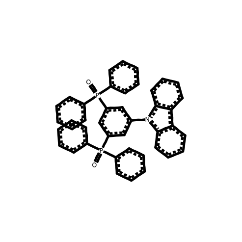 O=P(c1ccccc1)(c1ccccc1)c1cc(-n2c3ccccc3c3ccccc32)cc(P(=O)(c2ccccc2)c2ccccc2)c1